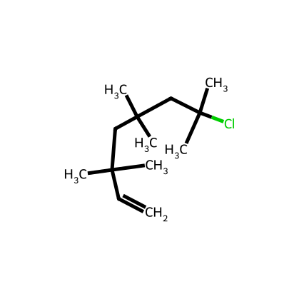 C=CC(C)(C)CC(C)(C)CC(C)(C)Cl